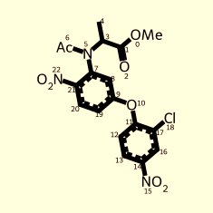 COC(=O)C(C)N(C(C)=O)c1cc(Oc2ccc([N+](=O)[O-])cc2Cl)ccc1[N+](=O)[O-]